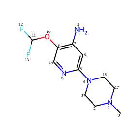 CN1CCN(c2cc(N)c(OC(F)F)cn2)CC1